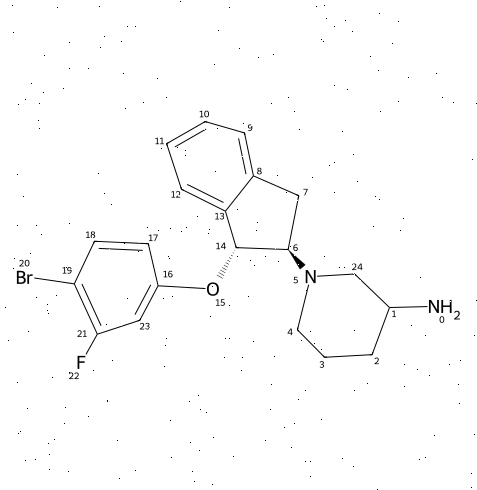 NC1CCCN([C@@H]2Cc3ccccc3[C@H]2Oc2ccc(Br)c(F)c2)C1